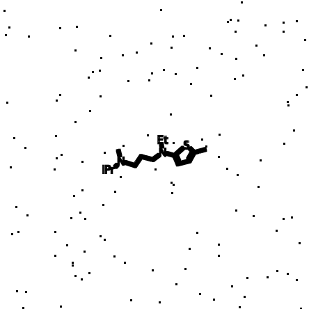 CCN(CCCN(C)C(C)C)c1ccc(C)s1